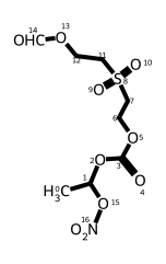 CC(OC(=O)OCCS(=O)(=O)CCOC=O)O[N+](=O)[O-]